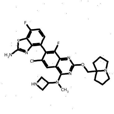 CN(c1nc(OCC23CCCN2CCC3)nc2c(F)c(-c3ccc(F)c4sc(N)nc34)c(Cl)cc12)C1CNC1